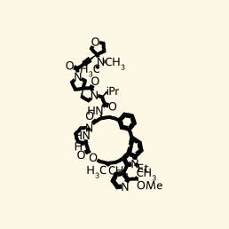 CCn1c(-c2cccnc2[C@H](C)OC)c2c3cc(ccc31)-c1cccc(c1)C[C@H](NC(=O)[C@H](C(C)C)N1CC[C@]3(CCN(C(=O)C#C[C@]4(N(C)C)CCOC4)C3)C1=O)C(=O)N1CCC[C@H](N1)C(=O)OCC(C)(C)C2